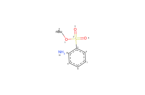 CCCCOS(=O)(=O)c1ccccc1.N